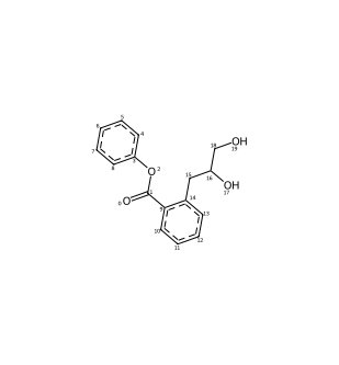 O=C(Oc1ccccc1)c1ccccc1CC(O)CO